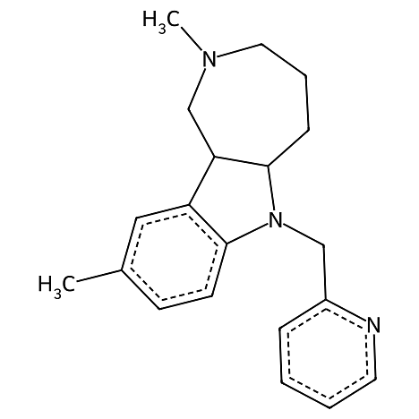 Cc1ccc2c(c1)C1CN(C)CCCC1N2Cc1ccccn1